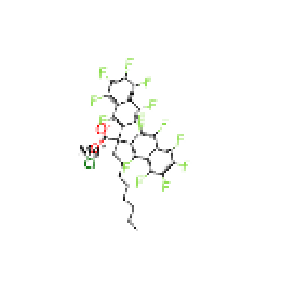 CCCCCCCCC(C(=O)[O-])(c1c(F)c(F)c2c(F)c(F)c(F)c(F)c2c1F)c1c(F)c(F)c2c(F)c(F)c(F)c(F)c2c1F.[Mg+][Cl]